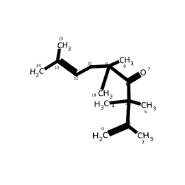 C=C(C)C(C)(C)C(=O)C(C)(C)CC=C(C)C